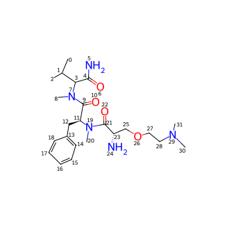 CC(C)C(C(N)=O)N(C)C(=O)[C@H](Cc1ccccc1)N(C)C(=O)[C@@H](N)COCCN(C)C